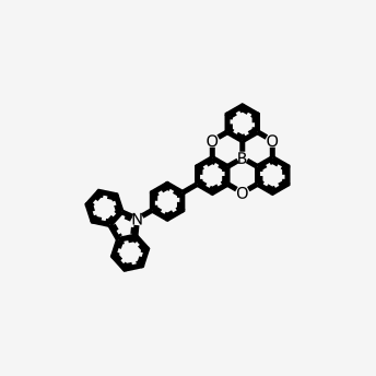 c1cc2c3c(c1)Oc1cc(-c4ccc(-n5c6ccccc6c6ccccc65)cc4)cc4c1B3c1c(cccc1O4)O2